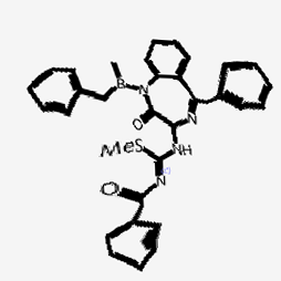 CS/C(=N\C(=O)c1ccccc1)NC1N=C(c2ccccc2)C2=CCCC=C2N(B(C)Cc2ccccc2)C1=O